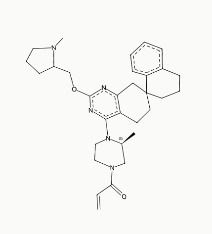 C=CC(=O)N1CCN(c2nc(OCC3CCCN3C)nc3c2CCC2(CCCc4ccccc42)C3)[C@@H](C)C1